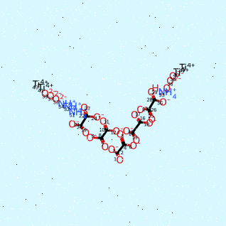 O.O=C([O-])C(=O)[O-].O=C([O-])C(=O)[O-].O=C([O-])C(=O)[O-].O=C([O-])C(=O)[O-].O=C([O-])C(=O)[O-].[NH4+].[NH4+].[NH4+].[NH4+].[O-2].[O-2].[O-2].[O-2].[O-2].[Ti+4].[Ti+4].[Ti+4].[Ti+4]